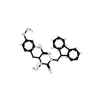 COc1ccc(CC(C(=O)O)N(C)C(=O)OCC2c3ccccc3-c3ccccc32)cc1